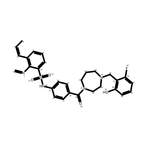 C=Nc1c(/C=C\C)cccc1S(=O)(=O)Nc1ccc(C(=O)N2CCCN(Cc3c(O)cccc3F)CC2)cc1